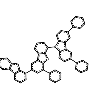 c1ccc(-c2ccc3c(c2)c2cc(-c4ccccc4)ccc2n3-c2cccc3c2sc2c(-c4ccccc4)cc(-c4cccc5c4sc4ccccc45)cc23)cc1